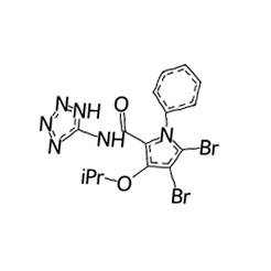 CC(C)Oc1c(Br)c(Br)n(-c2ccccc2)c1C(=O)Nc1nnn[nH]1